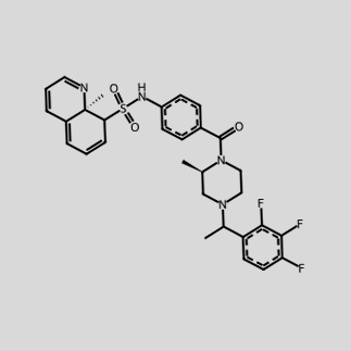 CC(c1ccc(F)c(F)c1F)N1CCN(C(=O)c2ccc(NS(=O)(=O)C3C=CC=C4C=CC=N[C@]43C)cc2)[C@H](C)C1